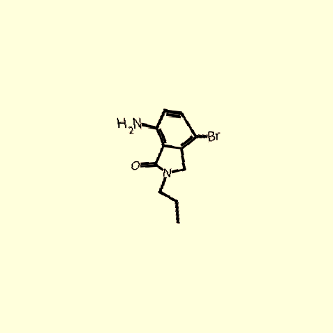 CCCN1Cc2c(Br)ccc(N)c2C1=O